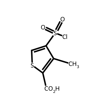 Cc1c(S(=O)(=O)Cl)csc1C(=O)O